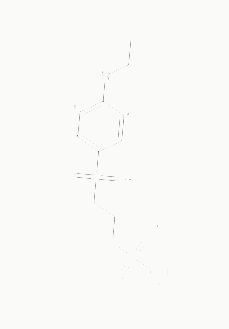 CCNc1ccc(S(=O)(=O)CCOS(=O)(=O)O)cc1